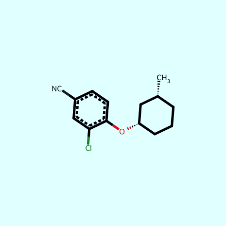 C[C@@H]1CCC[C@H](Oc2ccc(C#N)cc2Cl)C1